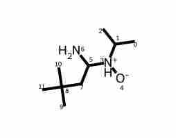 CC(C)[NH+]([O-])C(N)CC(C)(C)C